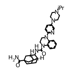 CC(C)N1CCN(c2ccc(N3CCN(C(=O)NC4[C@@H]5CC6C[C@H]4CC(C(N)=O)(C6)C5)c4ccccc43)nc2)CC1